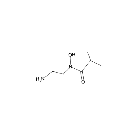 CC(C)C(=O)N(O)CCN